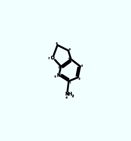 Nc1ccc2c(n1)OCC2